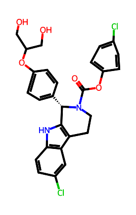 O=C(Oc1ccc(Cl)cc1)N1CCc2c([nH]c3ccc(Cl)cc23)[C@@H]1c1ccc(OC(CO)CO)cc1